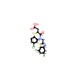 O=C(O)CC1Sc2ccc(Cl)cc2N(Cc2nc3cc(F)cc(F)c3s2)C1=O